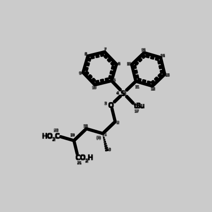 C[C@@H](CO[Si](c1ccccc1)(c1ccccc1)C(C)(C)C)CC(C(=O)O)C(=O)O